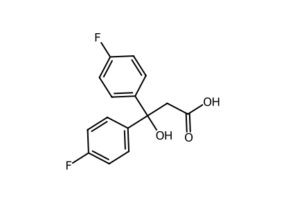 O=C(O)CC(O)(c1ccc(F)cc1)c1ccc(F)cc1